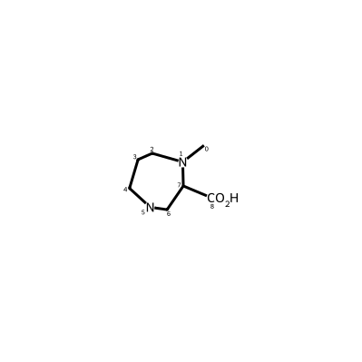 CN1CCC[N]CC1C(=O)O